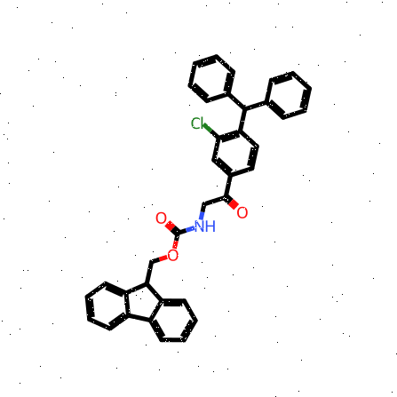 O=C(NCC(=O)c1ccc([C](c2ccccc2)c2ccccc2)c(Cl)c1)OCC1c2ccccc2-c2ccccc21